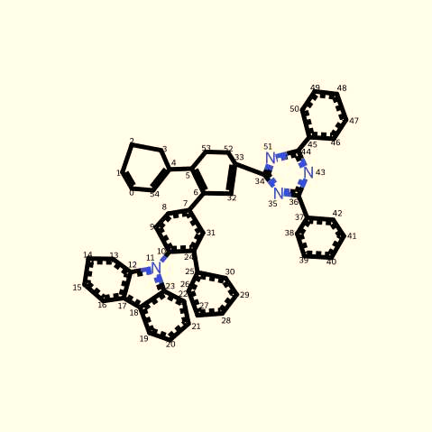 C1=CCCC(C2=C(c3ccc(-n4c5ccccc5c5ccccc54)c(-c4ccccc4)c3)C=C(c3nc(-c4ccccc4)nc(-c4ccccc4)n3)CC2)=C1